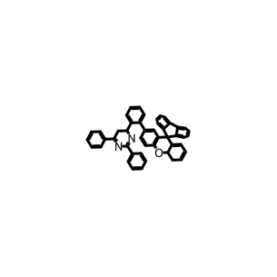 C1=CCC2Oc3ccc(-c4ccccc4C4CC(c5ccccc5)=NC(c5ccccc5)=N4)cc3C3(C2=C1)c1ccccc1-c1ccccc13